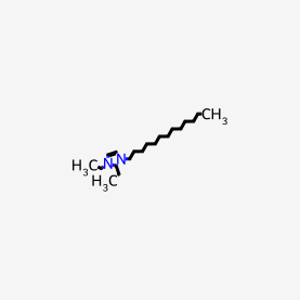 CCCCCCCCCCCCCN1C=CN(CC)C1CC